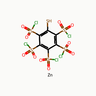 O=S(=O)(Cl)c1c(S)c(S(=O)(=O)Cl)c(S(=O)(=O)Cl)c(S(=O)(=O)Cl)c1S(=O)(=O)Cl.[Zn]